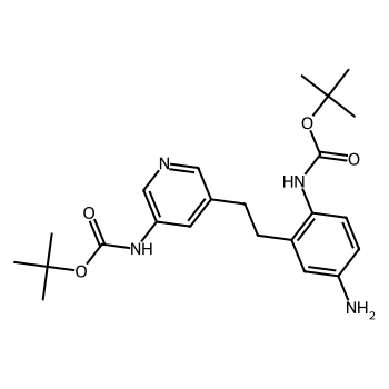 CC(C)(C)OC(=O)Nc1cncc(CCc2cc(N)ccc2NC(=O)OC(C)(C)C)c1